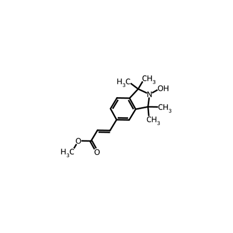 COC(=O)C=Cc1ccc2c(c1)C(C)(C)N(O)C2(C)C